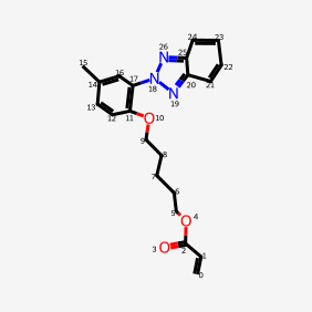 C=CC(=O)OCCCCCOc1ccc(C)cc1-n1nc2ccccc2n1